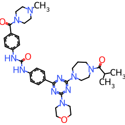 CC(C)C(=O)N1CCCN(c2nc(-c3ccc(NC(=O)Nc4ccc(C(=O)N5CCN(C)CC5)cc4)cc3)nc(N3CCOCC3)n2)CC1